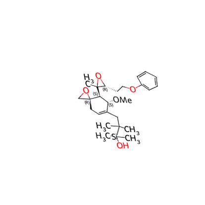 CO[C@@H]1C(CC(C)(C)[Si](C)(C)O)=CC[C@]2(CO2)[C@H]1C1(C)O[C@@H]1CCOc1ccccc1